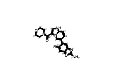 Nc1nc2cc(C3=CN4C(C(=O)N5CCOCC5)=CNC4C=C3)c(F)cc2o1